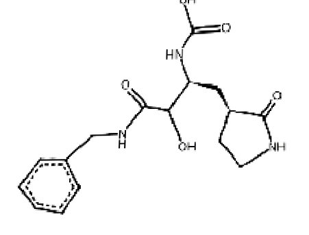 O=C(O)N[C@@H](C[C@@H]1CCNC1=O)C(O)C(=O)NCc1ccccc1